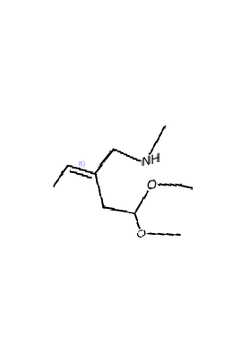 C/C=C(/CNC)CC(OC)OC